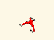 CCCCCCCCc1cnc(-c2ccc(C(OC(c3ccc(CCCCC)cc3)c3ccc(-c4ncc(CCCCCCCC)cn4)cc3)c3ccc(CCCCC)cc3)cc2)nc1